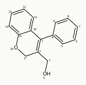 OCC1=C(c2ccccc2)c2ccccc2OC1